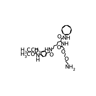 CC(C)(C)OC(=O)Nc1ccc(C(=O)NCCCCC(NC(=O)COCCOCCN)C(=O)Nc2ccccccccc2)cc1